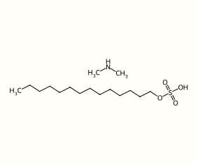 CCCCCCCCCCCCCCOS(=O)(=O)O.CNC